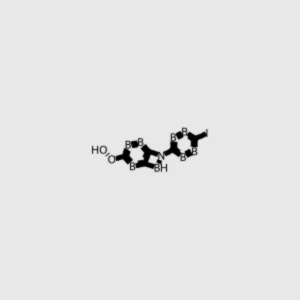 OOc1bbc2c(b1)BN2c1bbc(I)bb1